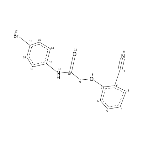 N#Cc1ccccc1OCC(=O)Nc1ccc(Br)cc1